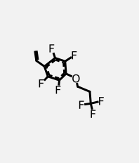 C=Cc1c(F)c(F)c(OCCC(F)(F)F)c(F)c1F